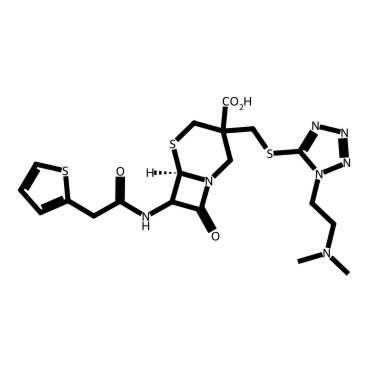 CN(C)CCn1nnnc1SCC1(C(=O)O)CS[C@@H]2C(NC(=O)Cc3cccs3)C(=O)N2C1